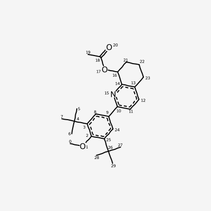 COc1c(C(C)(C)C)cc(-c2ccc3c(n2)C(OC(C)=O)CCC3)cc1C(C)(C)C